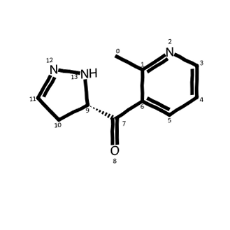 Cc1ncccc1C(=O)[C@@H]1CC=NN1